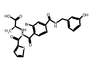 C[C@H](NN(C(=O)c1cccs1)C(=O)c1ccc(C(=O)NCc2cccc(O)c2)cc1Br)C(=O)O